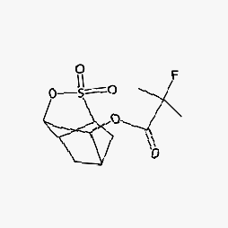 CC(C)(F)C(=O)OC1C2CC3C1OS(=O)(=O)C3C2